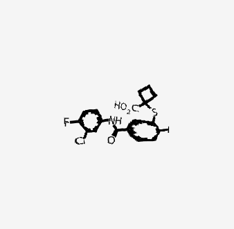 O=C(Nc1ccc(F)c(Cl)c1)c1ccc(I)c(SC2(C(=O)O)CCC2)c1